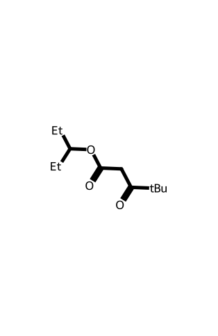 CCC(CC)OC(=O)CC(=O)C(C)(C)C